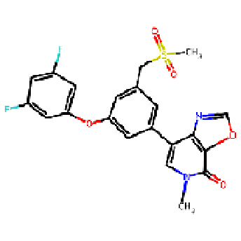 Cn1cc(-c2cc(CS(C)(=O)=O)cc(Oc3cc(F)cc(F)c3)c2)c2ncoc2c1=O